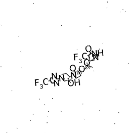 C[C@@H](CO[C@H]1CCN(C2CCN(c3ncc(C(F)(F)F)cn3)CC2O)C1=O)Oc1cn[nH]c(=O)c1C(F)(F)F